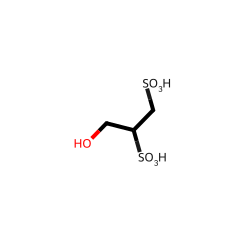 O=S(=O)(O)CC(CO)S(=O)(=O)O